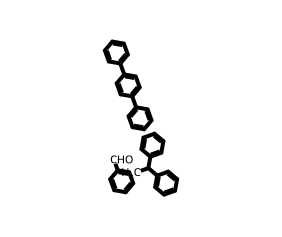 CC(c1ccccc1)c1ccccc1.O=Cc1ccccc1.c1ccc(-c2ccc(-c3ccccc3)cc2)cc1